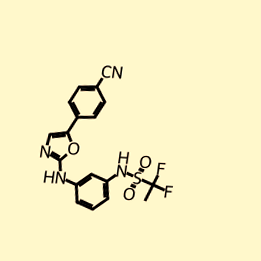 CC(F)(F)S(=O)(=O)Nc1cccc(Nc2ncc(-c3ccc(C#N)cc3)o2)c1